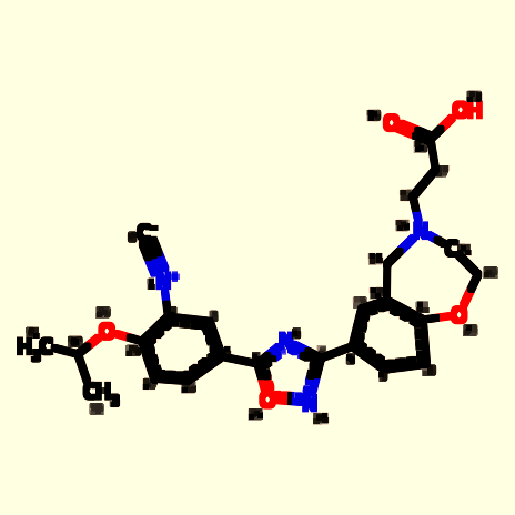 [C-]#[N+]c1cc(-c2nc(-c3ccc4c(c3)CN(CCC(=O)O)CCO4)no2)ccc1OC(C)C